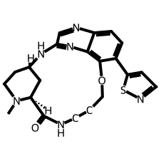 CN1CC[C@H]2C[C@H]1C(=O)NCCCOc1c(-c3ccns3)ccc3ncc(nc13)N2